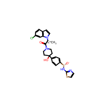 C[C@H](C(=O)N1CCC(O)(c2ccc([S+]([O-])Nc3nccs3)cc2)CC1)n1ccc2ccc(Cl)cc21